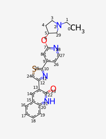 CCN1CCC(Oc2cc(-c3nc(-c4cc5ccccc5[nH]c4=O)cs3)ccn2)C1